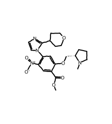 COC(=O)c1cc([N+](=O)[O-])c(-n2ccnc2C2CCOCC2)cc1OC[C@@H]1CCCN1C